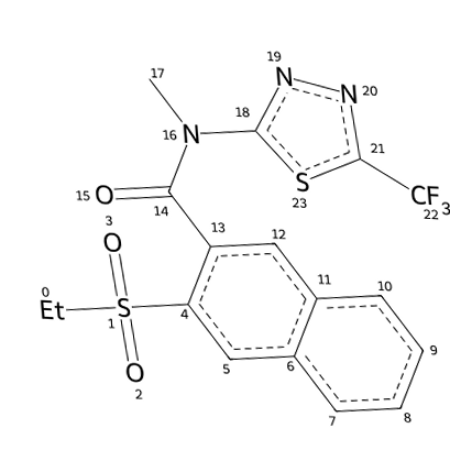 CCS(=O)(=O)c1cc2ccccc2cc1C(=O)N(C)c1nnc(C(F)(F)F)s1